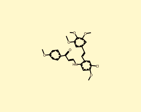 COc1ccc(C(=O)C=CNc2cc(OC)c(Cl)cc2C=Cc2cc(OC)c(OC)c(OC)c2)cc1